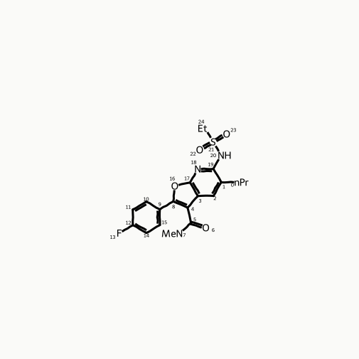 CCCc1cc2c(C(=O)NC)c(-c3ccc(F)cc3)oc2nc1NS(=O)(=O)CC